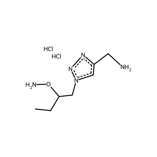 CCC(Cn1cc(CN)nn1)ON.Cl.Cl